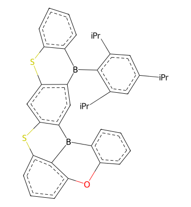 CC(C)c1cc(C(C)C)c(B2c3ccccc3Sc3cc4c(cc32)B2c3ccccc3Oc3cccc(c32)S4)c(C(C)C)c1